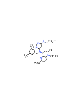 CCOC(=O)CN(C)c1cc(N(Cc2cc(C(F)(F)F)cc(C(F)(F)F)c2)[C@H]2C[C@@H](CC)N(C(=O)OCC)c3ccc(OC)nc32)ncn1